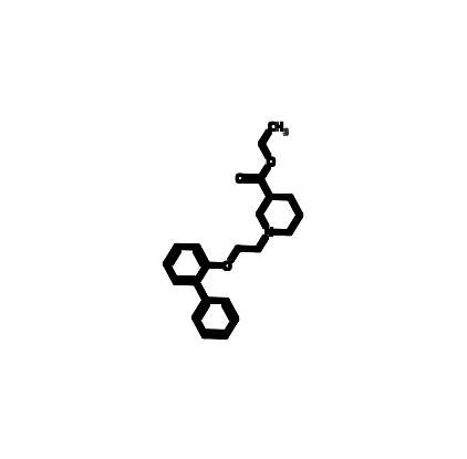 CCOC(=O)C1CCCN(CCOc2ccccc2-c2ccccc2)C1